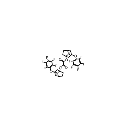 CN1C2CCC1(OC(=O)C(=O)OC13CCC(CC(Oc4c(F)c(F)c(F)c(F)c4F)C1)N3C)CC(Oc1c(F)c(F)c(F)c(F)c1F)C2